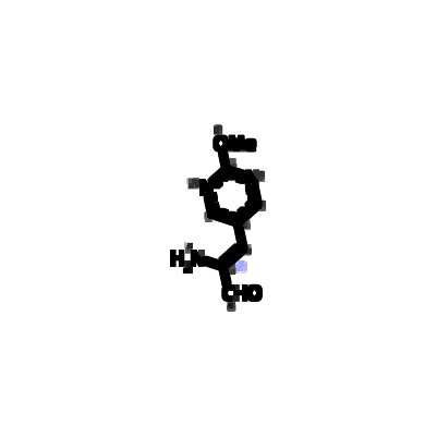 COc1ncc(/C=C(\N)C=O)cn1